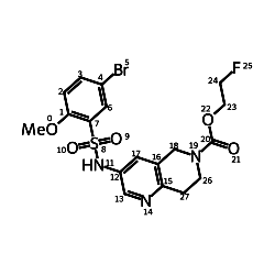 COc1ccc(Br)cc1S(=O)(=O)Nc1cnc2c(c1)CN(C(=O)OCCF)CC2